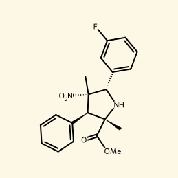 COC(=O)[C@@]1(C)N[C@@H](c2cccc(F)c2)[C@@](C)([N+](=O)[O-])[C@@H]1c1ccccc1